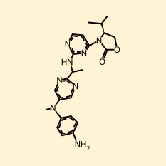 CC(Nc1nccc(N2C(=O)OC[C@@H]2C(C)C)n1)c1ncc(N(C)c2ccc(N)cc2)cn1